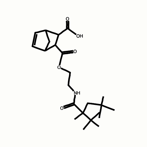 CC(C)(C)CC(C)(C(=O)NCCOC(=O)C1C2C=CC(C2)C1C(=O)O)C(C)(C)C